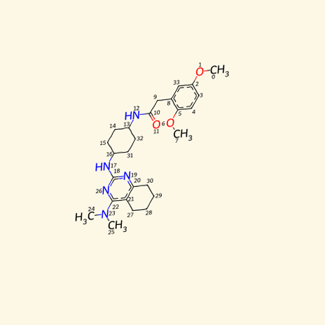 COc1ccc(OC)c(CC(=O)NC2CCC(Nc3nc4c(c(N(C)C)n3)CCCC4)CC2)c1